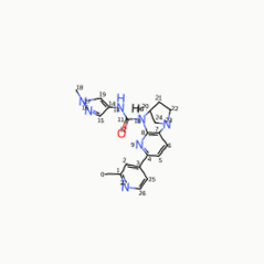 Cc1cc(-c2ccc3c(n2)N(C(=O)Nc2cnn(C)c2)[C@H]2CCN3C2)ccn1